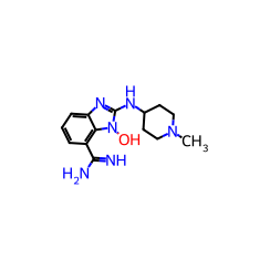 CN1CCC(Nc2nc3cccc(C(=N)N)c3n2O)CC1